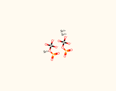 O=P(=O)O[Si]([O-])([O-])[O-].O=P(=O)O[Si]([O-])([O-])[O-].[Sr+2].[Sr+2].[Sr+2]